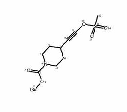 CC(C)(C)OC(=O)N1CCC(C#COS(C)(=O)=O)CC1